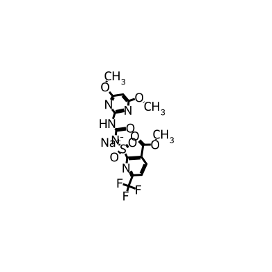 COC(=O)c1ccc(C(F)(F)F)nc1S(=O)(=O)[N-]C(=O)Nc1nc(OC)cc(OC)n1.[Na+]